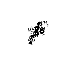 Cn1ccc(C2=CNC(N)(c3ccnc(-c4cnn(S(=O)(=O)C5CC5)c4)n3)C=C2NC2CCC(F)CC2)n1